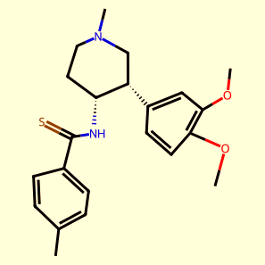 COc1ccc([C@H]2CN(C)CC[C@H]2NC(=S)c2ccc(C)cc2)cc1OC